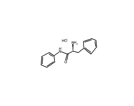 Cl.N[C@@H](Cc1ccccc1)C(=O)Nc1ccccc1